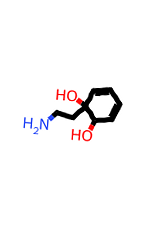 NCCC1(O)C=CC=CC1O